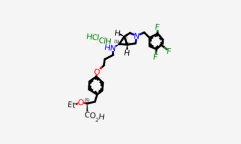 CCO[C@@H](Cc1ccc(OCCCN[C@H]2[C@@H]3CN(Cc4cc(F)c(F)cc4F)C[C@@H]32)cc1)C(=O)O.Cl.Cl